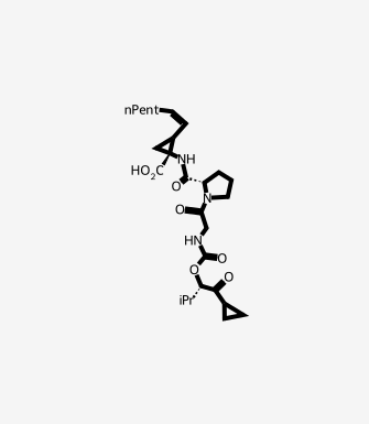 CCCCC/C=C\C1C[C@]1(NC(=O)[C@@H]1CCCN1C(=O)CNC(=O)O[C@H](C(=O)C1CC1)C(C)C)C(=O)O